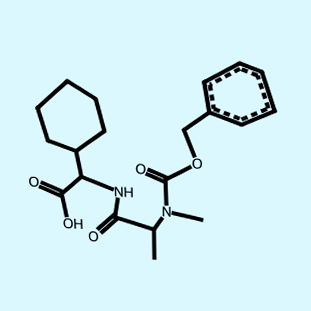 CC(C(=O)NC(C(=O)O)C1CCCCC1)N(C)C(=O)OCc1ccccc1